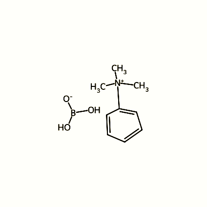 C[N+](C)(C)c1ccccc1.[O-]B(O)O